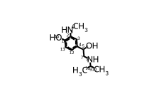 CNc1cc(C(O)CNC(C)C)ccc1O